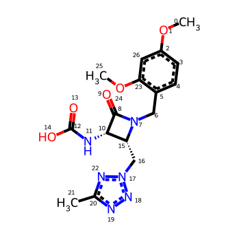 COc1ccc(CN2C(=O)[C@@H](NC(=O)O)[C@H]2Cn2nnc(C)n2)c(OC)c1